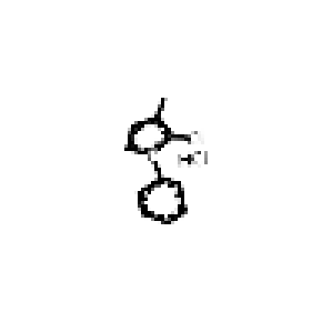 Cc1ccp(-c2ccccc2)c1Cl.Cl